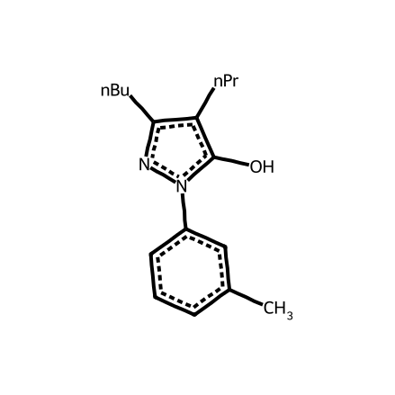 CCCCc1nn(-c2cccc(C)c2)c(O)c1CCC